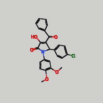 COc1ccc(N2C(=O)C(O)=C(C(=O)c3ccccc3)C2c2ccc(Cl)cc2)cc1OC